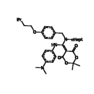 CCCCCCCN(Cc1ccc(OCCC(C)C)cc1)C(Nc1ccc(N(C)C)cc1)=C1C(=O)OC(C)(C)OC1=O